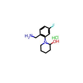 Cl.NCc1ccc(F)cc1N1CCCCC1O